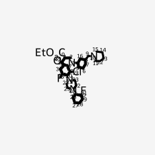 CCOC(=O)c1cn(-c2cccc(CN3CCCCC3)c2)c2c(Cl)c(N3CCN(c4ccccc4F)CC3)c(F)cc2c1=O